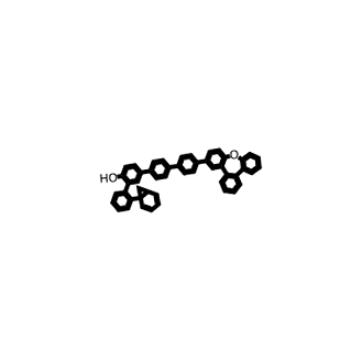 Oc1ccc(-c2ccc(-c3ccc(-c4ccc5c(c4)-c4ccccc4-c4ccccc4O5)cc3)cc2)cc1-c1ccccc1C12C=CC=CC1C2